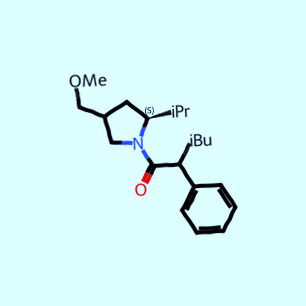 CCC(C)C(C(=O)N1CC(COC)C[C@H]1C(C)C)c1ccccc1